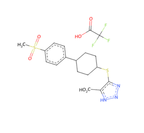 CS(=O)(=O)c1ccc(C2CCC(Sc3nn[nH]c3C(=O)O)CC2)cc1.O=C(O)C(F)(F)F